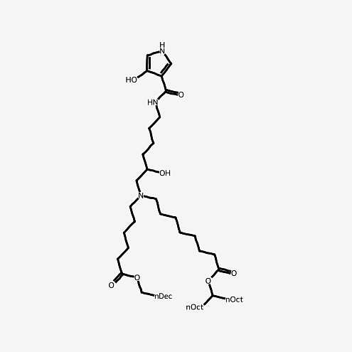 CCCCCCCCCCCOC(=O)CCCCCN(CCCCCCCC(=O)OC(CCCCCCCC)CCCCCCCC)CC(O)CCCCNC(=O)c1c[nH]cc1O